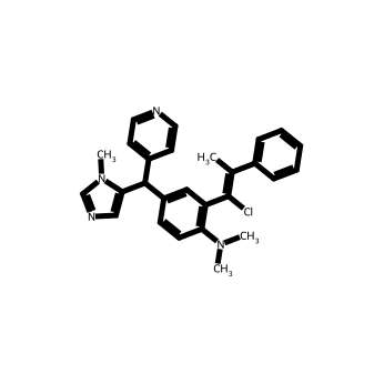 C/C(=C(/Cl)c1cc(C(c2ccncc2)c2cncn2C)ccc1N(C)C)c1ccccc1